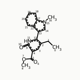 CCc1cc(C(=O)OC)c(=O)[nH]c1-c1cn(C)c2ccccc12